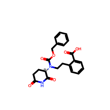 O=C1CC[C@H](N(CCc2ccccc2C(=O)O)C(=O)OCc2ccccc2)C(=O)N1